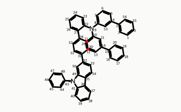 c1ccc(-c2cccc(N(c3cccc(-c4ccccc4)c3)c3ccccc3-c3ccc(-c4ccc5c6ccccc6n(-c6ccccc6)c5c4)cc3)c2)cc1